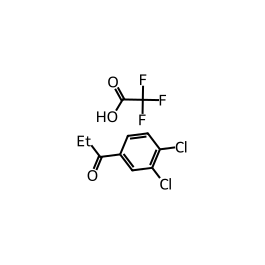 CCC(=O)c1ccc(Cl)c(Cl)c1.O=C(O)C(F)(F)F